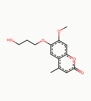 COc1cc2oc(=O)cc(C)c2cc1OCCCO